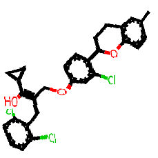 Cc1ccc2c(c1)CCC(c1ccc(OC/C(Cc3c(Cl)cccc3Cl)=C(/O)C3CC3)cc1Cl)O2